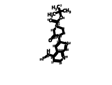 CC(C)(C)OC(=O)N1CCN(c2cc3c(NF)ccnc3cn2)C(=O)C1